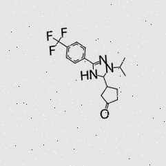 CC(C)N1N=C(c2ccc(C(F)(F)F)cc2)NC1C1CCC(=O)C1